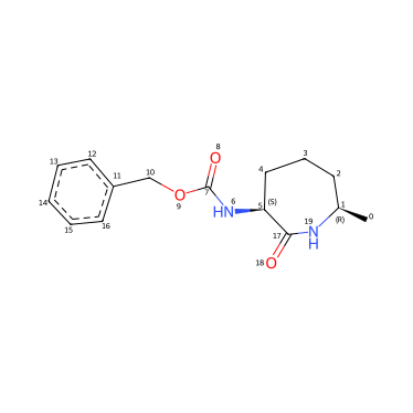 C[C@@H]1CCC[C@H](NC(=O)OCc2ccccc2)C(=O)N1